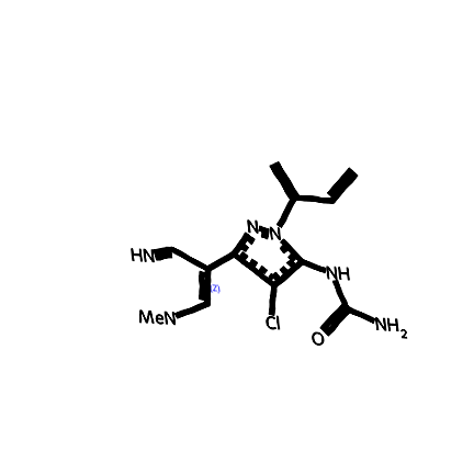 C=CC(=C)n1nc(/C(C=N)=C/NC)c(Cl)c1NC(N)=O